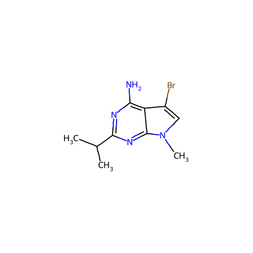 CC(C)c1nc(N)c2c(Br)cn(C)c2n1